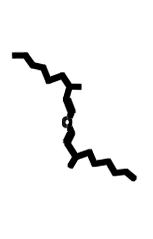 CCCCCCC(C)C=COC=CC(C)CCCCCC